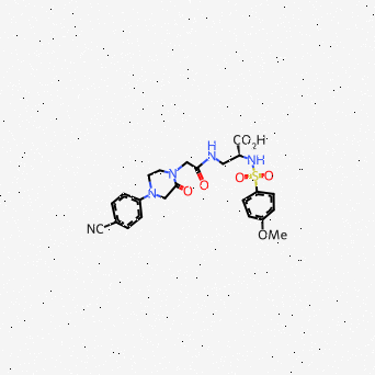 COc1ccc(S(=O)(=O)N[C@@H](CNC(=O)CN2CCN(c3ccc(C#N)cc3)CC2=O)C(=O)O)cc1